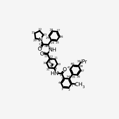 Cc1cccc(C(=O)NC23CCC(C(=O)N[C@H](C(=O)N4CCCC4)c4ccccc4)(CC2)CC3)c1-c1ccc(C(C)C)cc1